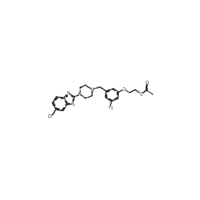 CC(=O)OCCOc1cc(Cl)cc(CN2CCN(c3nc4ccc(Cl)cc4s3)CC2)c1